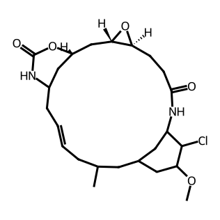 COC1CC2CC(C)C/C=C/CC3C[C@@H](C[C@@H]4O[C@H]4CCC(=O)NC(C2)C1Cl)OC(=O)N3